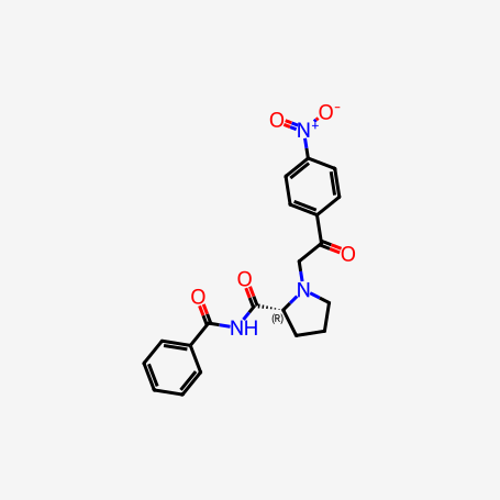 O=C(CN1CCC[C@@H]1C(=O)NC(=O)c1ccccc1)c1ccc([N+](=O)[O-])cc1